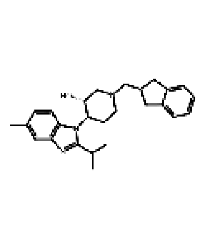 Cc1ccc2c(c1)nc(C(C)C)n2[C@@H]1CCN(CC2Cc3ccccc3C2)C[C@H]1O